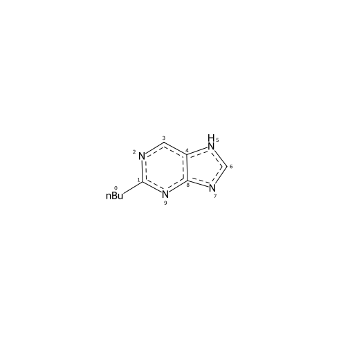 CCCCc1ncc2[nH]cnc2n1